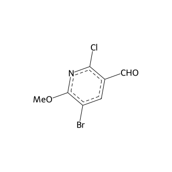 COc1nc(Cl)c(C=O)cc1Br